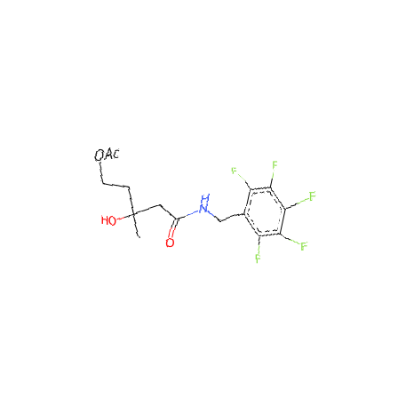 CC(=O)OCCC(C)(O)CC(=O)NCc1c(F)c(F)c(F)c(F)c1F